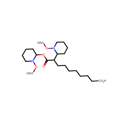 CCCCCCCCON1CCCCC1OC(=O)C(CCCCCCCC(=O)O)C1CCCCN1OCCCCCCCC